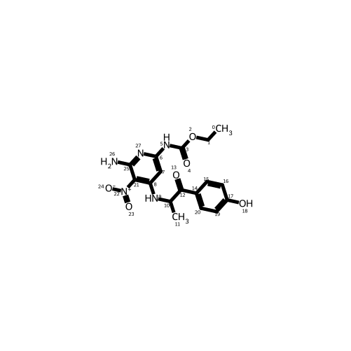 CCOC(=O)Nc1cc(NC(C)C(=O)c2ccc(O)cc2)c([N+](=O)[O-])c(N)n1